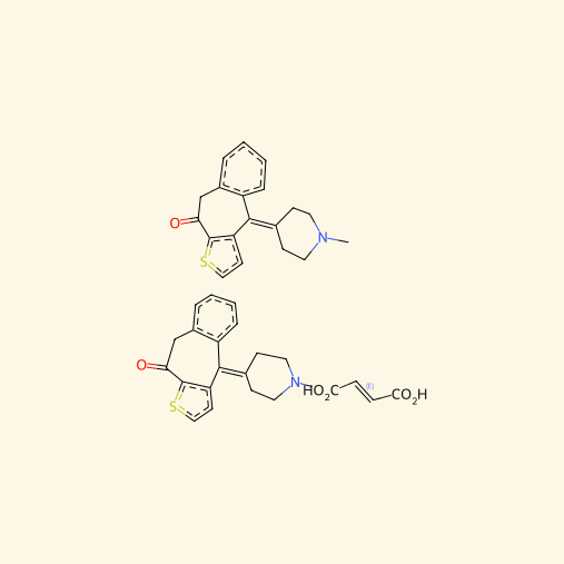 CN1CCC(=C2c3ccccc3CC(=O)c3sccc32)CC1.CN1CCC(=C2c3ccccc3CC(=O)c3sccc32)CC1.O=C(O)/C=C/C(=O)O